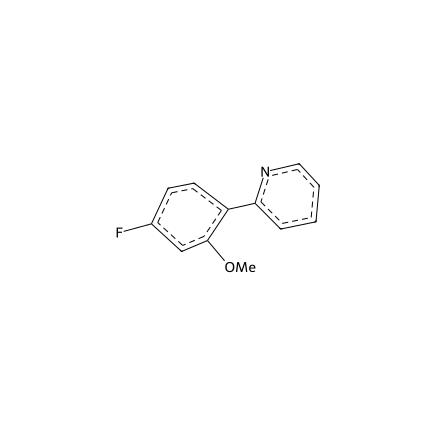 COc1cc(F)ccc1-c1ccccn1